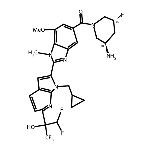 COc1cc(C(=O)N2C[C@H](N)C[C@@H](F)C2)cc2nc(-c3cc4ccc(C(O)(C(F)F)C(F)(F)F)nc4n3CC3CC3)n(C)c12